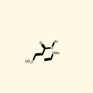 C=COC.CC(C)OC(=O)C=CC(=O)O